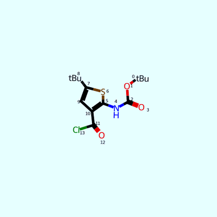 CC(C)(C)OC(=O)Nc1sc(C(C)(C)C)cc1C(=O)Cl